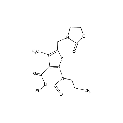 CCn1c(=O)c2c(C)c(CN3CCOC3=O)sc2n(CCC(F)(F)F)c1=O